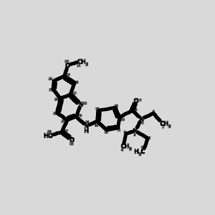 CCN(CC)N(CC)C(=O)c1ccc(Nc2nc3cc(OC)ccc3cc2C(=O)O)cc1